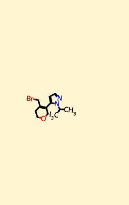 CC(C)n1nccc1C1=C(CBr)CCOC1